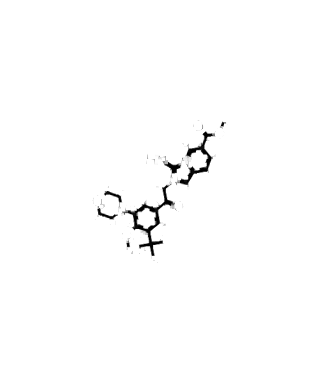 COC(=O)c1ccc2cn(CC(=O)c3cc(N4CCOCC4)c(OC)c(C(C)(C)C)c3)c(=N)n2c1